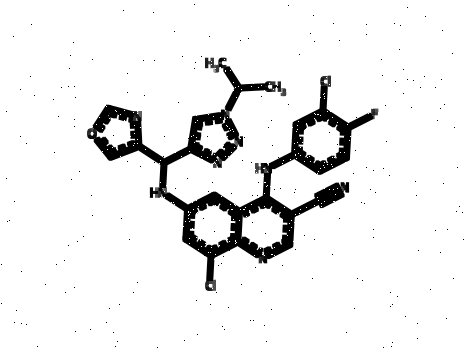 CC(C)n1cc(C(Nc2cc(Cl)c3ncc(C#N)c(Nc4ccc(F)c(Cl)c4)c3c2)c2cocn2)nn1